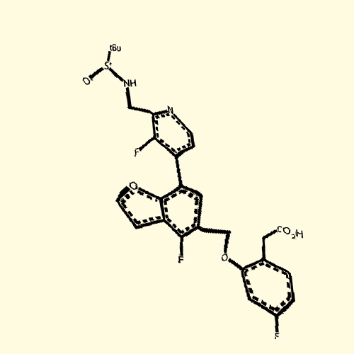 CC(C)(C)[S+]([O-])NCc1nccc(-c2cc(COc3cc(F)ccc3CC(=O)O)c(F)c3ccoc23)c1F